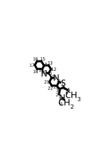 C=N/C=c1\c(=C/C)sc2nc(-c3ccc4ccccc4n3)ccc12